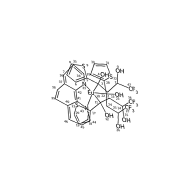 OC(C[C](O)(c1cccs1)[Eu]1([C](O)(CC(O)C(F)(F)F)c2cccs2)([C](O)(CC(O)C(F)(F)F)c2cccs2)[N]2C=CC=c3ccc4c(c32)[N]1C=CC=4)C(F)(F)F